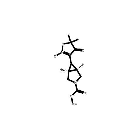 CC(C)(C)OC(=O)N1C[C@@H]2C(C3=[N+]([O-])OC(C)(C)C3=O)[C@@H]2C1